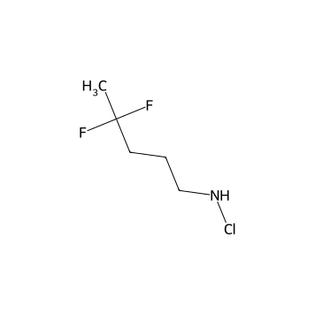 CC(F)(F)CCCNCl